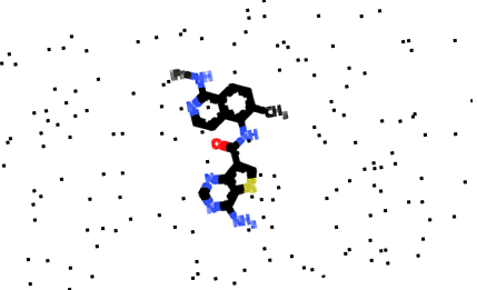 Cc1ccc2c(NC(C)C)nccc2c1NC(=O)c1csc2c(N)ncnc12